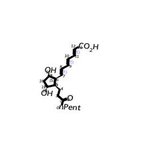 CCCCCC(=O)CC[C@@H]1[C@H](/C=C/C=C/C=C/C(=O)O)[C@@H](O)C[C@H]1O